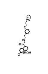 O=c1ccc2c([C@@H](O)CNCCc3cccc(OCCC45CC6CC(CC4C6)C5)c3)ccc(O)c2[nH]1